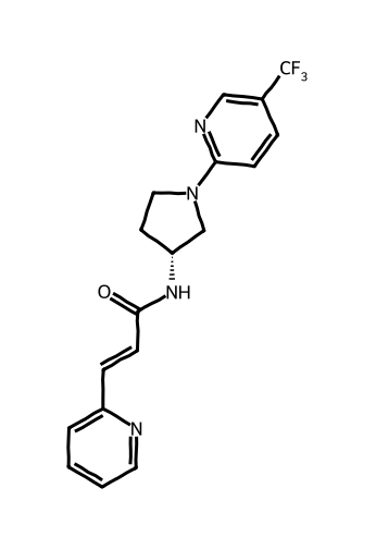 O=C(/C=C/c1ccccn1)N[C@@H]1CCN(c2ccc(C(F)(F)F)cn2)C1